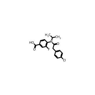 CC(C)N(C(=O)Cc1ccc(Cl)cc1)c1ccc(C(=O)O)cc1F